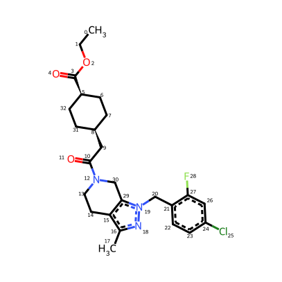 CCOC(=O)[C@H]1CC[C@@H](CC(=O)N2CCc3c(C)nn(Cc4ccc(Cl)cc4F)c3C2)CC1